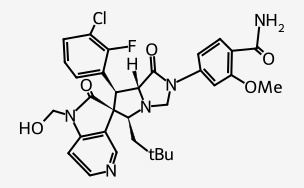 COc1cc(N2CN3[C@@H](CC(C)(C)C)[C@@]4(C(=O)N(CO)c5ccncc54)[C@@H](c4cccc(Cl)c4F)[C@@H]3C2=O)ccc1C(N)=O